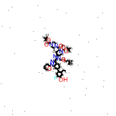 CCc1cc(O)c(F)cc1-c1ccc2c(-c3nc4c(n3COCC[Si](C)(C)C)CN(C(=O)OC(C)(C)C)[C@H](C(=O)N3CCN(C(=O)OC(C)(C)C)C[C@@H]3C)C4)nn([C@@H]3CCCCO3)c2c1